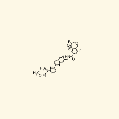 CO[C@H]1C[C@@H]1N(C)c1cccc(-c2ccc3cnc(CNC(=O)c4cc(F)c5c(c4)S(=O)(=O)[C@@H](F)COC5)cc3n2)n1